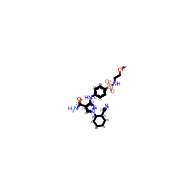 COCCNS(=O)(=O)c1ccc(Nc2nn(C3CCCCC3C#N)cc2C(N)=O)cc1